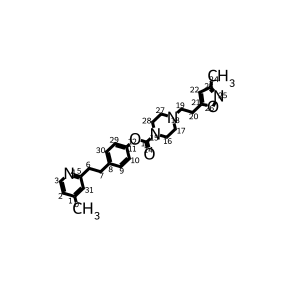 Cc1ccnc(CCc2ccc(OC(=O)N3CCN(CCc4cc(C)no4)CC3)cc2)c1